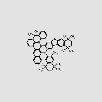 Cc1cc2c(cc1N1c3cc4c(cc3B3c5c(cc6ccccc6c51)-c1cccc5c1N3c1ccccc1C5(C)C)oc1cc3c(cc14)C(C)(C)CCC3(C)C)C(C)(C)CCC2(C)C